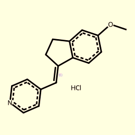 COc1ccc2c(c1)CC/C2=C\c1ccncc1.Cl